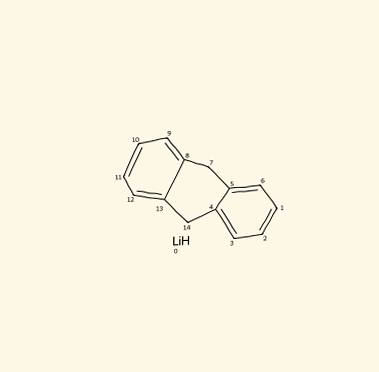 [LiH].c1ccc2c(c1)Cc1ccccc1C2